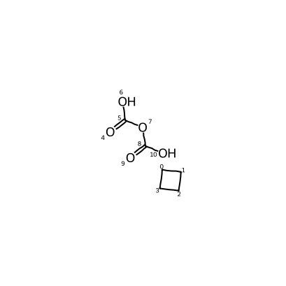 C1CCC1.O=C(O)OC(=O)O